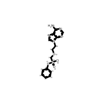 Nc1ncnc2c1ncn2CCOCP(=O)(Cl)Oc1ccccc1